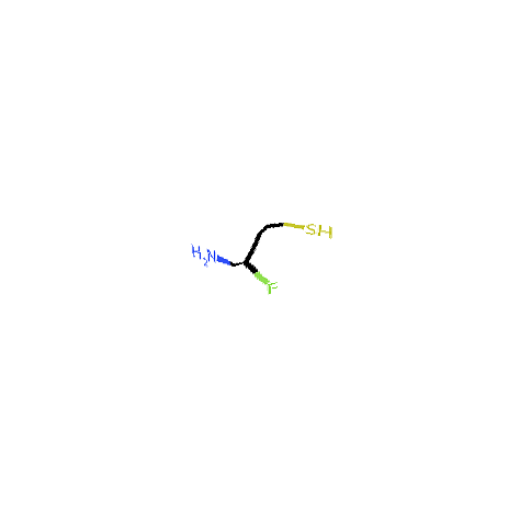 N[C@H](F)CS